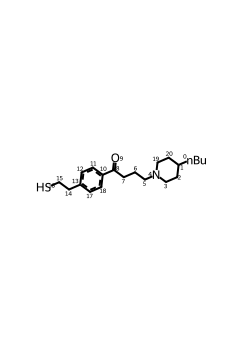 CCCCC1CCN(CCCC(=O)c2ccc(CCS)cc2)CC1